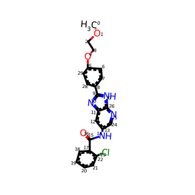 COCCOc1ccc(-c2nc3cc(NC(=O)c4ccccc4Cl)cnc3[nH]2)cc1